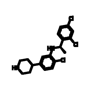 C[C@@H](Nc1cc(C2CCNCC2)ccc1Cl)c1ccc(Cl)cc1Cl